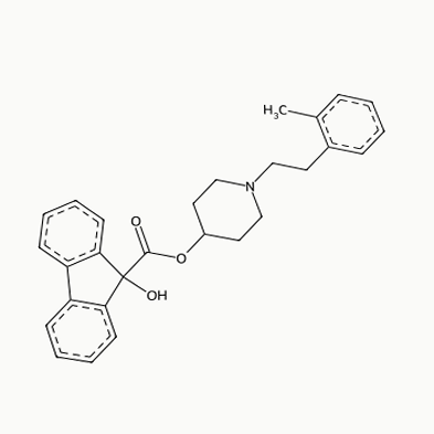 Cc1ccccc1CCN1CCC(OC(=O)C2(O)c3ccccc3-c3ccccc32)CC1